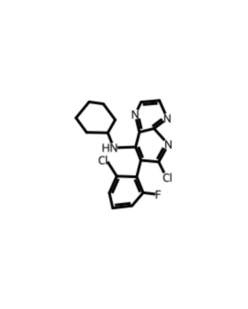 Fc1cccc(Cl)c1-c1c(Cl)nc2nccnc2c1NC1CCCCC1